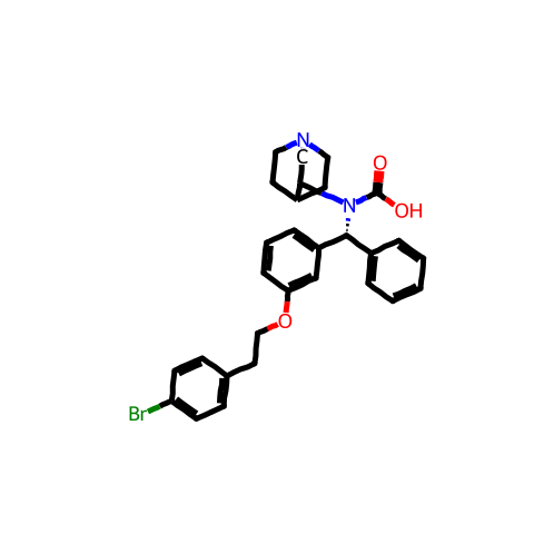 O=C(O)N(C1CN2CCC1CC2)[C@H](c1ccccc1)c1cccc(OCCc2ccc(Br)cc2)c1